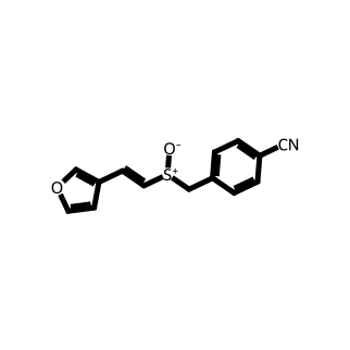 N#Cc1ccc(C[S+]([O-])C=Cc2ccoc2)cc1